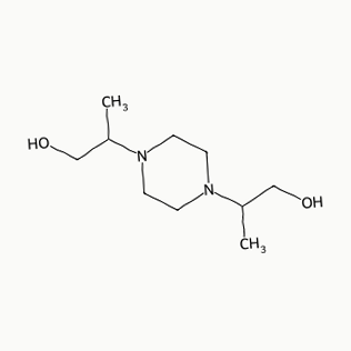 CC(CO)N1CCN(C(C)CO)CC1